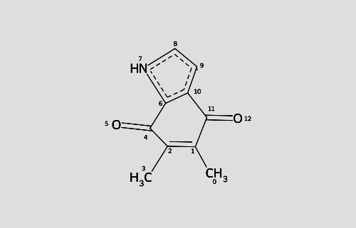 CC1=C(C)C(=O)c2[nH]c[c]c2C1=O